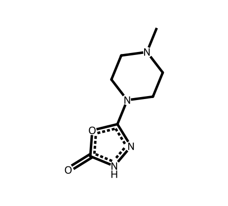 CN1CCN(c2n[nH]c(=O)o2)CC1